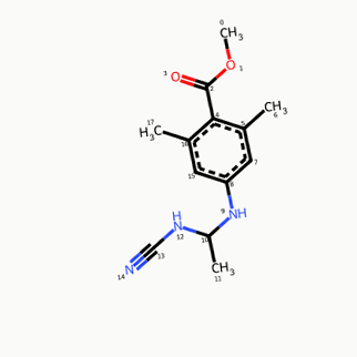 COC(=O)c1c(C)cc(NC(C)NC#N)cc1C